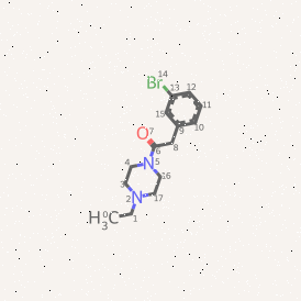 CCN1CCN(C(=O)Cc2cccc(Br)c2)CC1